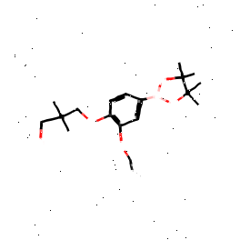 CC(C)(CO)COc1ccc(B2OC(C)(C)C(C)(C)O2)cc1OCC#N